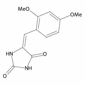 COc1ccc(C=C2NC(=O)NC2=O)c(OC)c1